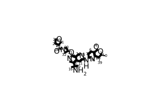 C[C@@H]1OC(=O)c2ccc(Nc3cc4c(C(C)(C)N)cnc(OC5CN(C(=O)[C@@H]6CCOC6)C5)c4cn3)nc2[C@H]1C